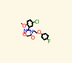 COc1ccc(Cl)cc1C1=NOCC(=O)N1CCOc1ccc(F)cc1